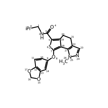 CC(C)CNC(=O)c1sc(Oc2ccc3c(c2)OCO3)c2c1CCc1cnn(C)c1-2